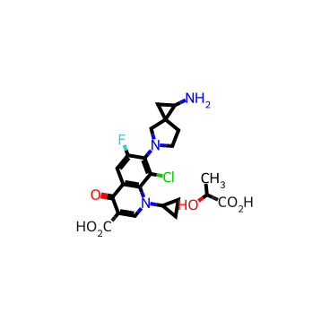 CC(O)C(=O)O.NC1CC12CCN(c1c(F)cc3c(=O)c(C(=O)O)cn(C4CC4)c3c1Cl)C2